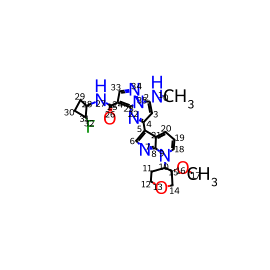 CNc1cc(-c2cnc3n([C@@H]4CCOC[C@H]4OC)cccc2-3)nc2c(C(=O)NC3CC[C@@H]3F)cnn12